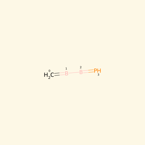 C=BB=P